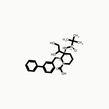 CC(C)(C)[S@@+]([O-])N[C@@]1(C(O)CO)CCCN(C(=O)O)[C@H]1Cc1cccc(-c2ccccc2)c1